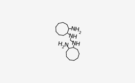 NC1CCCCCCCC1NCNC1CCCCCCCC1N